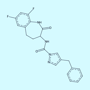 O=C1Nc2c(F)cc(F)cc2CCC1NC(=O)n1cc(Cc2ccccc2)cn1